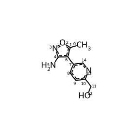 Cc1onc(N)c1-c1ccc(CO)nc1